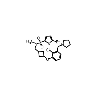 CCc1ccc(S(=O)(=O)N(C)CC2CC(Oc3cccc(CN4CCCC4)c3Cl)C2)s1